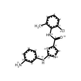 Cc1cccc(Cl)c1NC(=O)c1cnc(Nc2cccc(N)c2)s1